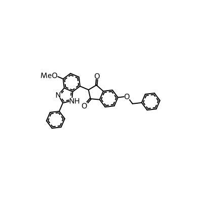 COc1ccc(C2C(=O)c3ccc(OCc4ccccc4)cc3C2=O)c2[nH]c(-c3ccccc3)nc12